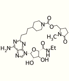 CCNC(=O)[C@H]1O[C@@H](n2cnc3c(N)nc(CCCC4CCN(C(=O)OCC5CCC(=O)N5C)CC4)nc32)[C@@H](O)C1O